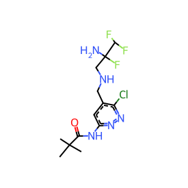 CC(C)(C)C(=O)Nc1cc(CNCC(N)(F)C(F)F)c(Cl)nn1